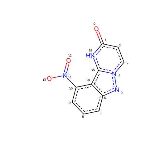 O=c1ccn2nc3cccc([N+](=O)[O-])c3c2[nH]1